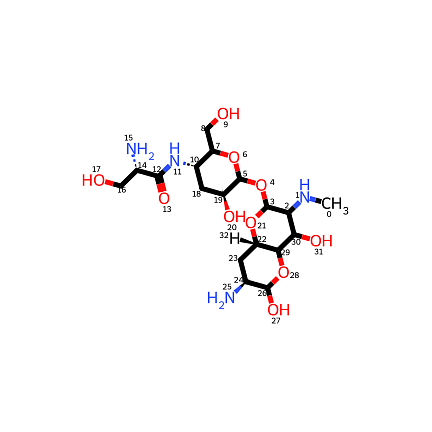 CNC1C(OC2OC(CO)[C@@H](NC(=O)[C@@H](N)CO)C[C@@H]2O)O[C@H]2C[C@H](N)C(O)OC2C1O